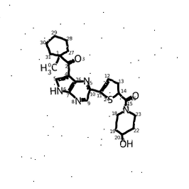 CC1(C(=O)c2c[nH]c3ncc(C4=CCC(C(=O)N5CCC(O)CC5)S4)nc23)CCCCC1